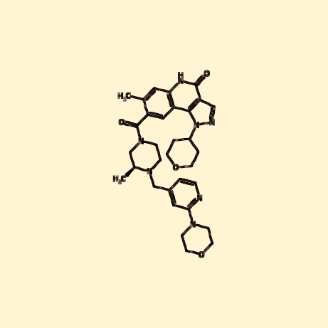 Cc1cc2[nH]c(=O)c3cnn(C4CCOCC4)c3c2cc1C(=O)N1CCN(Cc2ccnc(N3CCOCC3)c2)[C@@H](C)C1